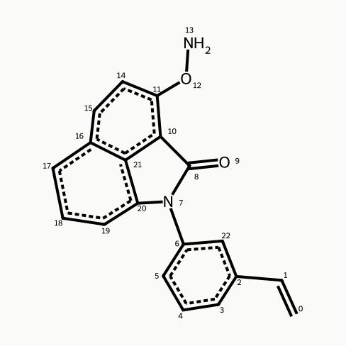 C=Cc1cccc(N2C(=O)c3c(ON)ccc4cccc2c34)c1